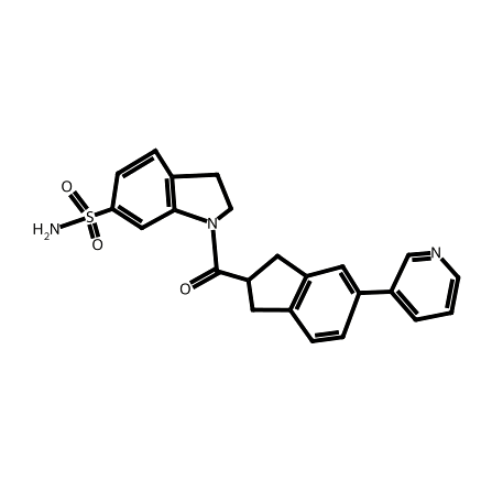 NS(=O)(=O)c1ccc2c(c1)N(C(=O)C1Cc3ccc(-c4cccnc4)cc3C1)CC2